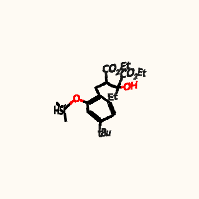 CCOC(=O)C(Cc1ccc(C(C)(C)C)cc1O[SiH](C)C)C(O)(CC)C(=O)OCC